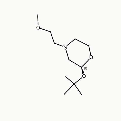 COCCN1CCO[C@@H](OC(C)(C)C)C1